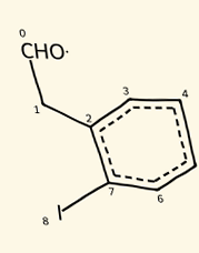 O=[C]Cc1ccccc1I